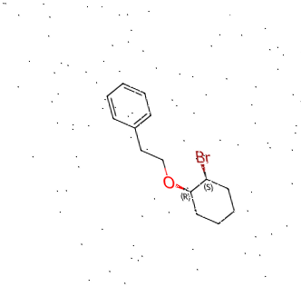 Br[C@H]1CCCC[C@H]1OCCc1ccccc1